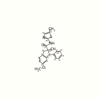 COc1ccc2c(c1)C(c1ccccc1)C(C)(C(=O)Nc1ncc(C)s1)C2